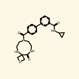 O=C(NC1CC1)c1cccc(-c2ccc(C(=O)N3CCNC(=O)C4(COC4)NCC3)cc2)c1